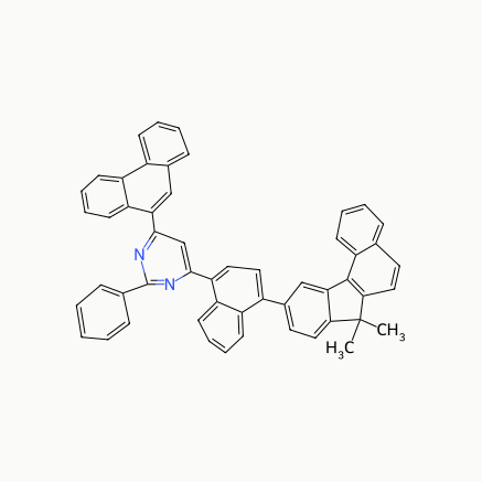 CC1(C)c2ccc(-c3ccc(-c4cc(-c5cc6ccccc6c6ccccc56)nc(-c5ccccc5)n4)c4ccccc34)cc2-c2c1ccc1ccccc21